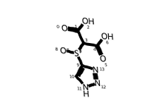 O=C(O)C(C(=O)O)[S+]([O-])c1c[nH]nn1